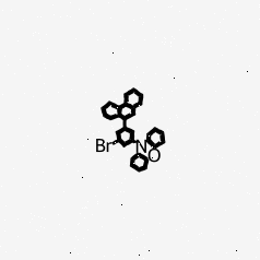 Brc1cc(-c2cc3ccccc3c3ccccc23)cc(N2c3ccccc3Oc3ccccc32)c1